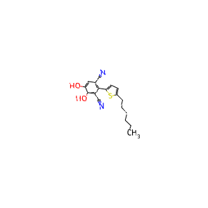 CCCCCCc1ccc(-c2c(C#N)cc(O)c(O)c2C#N)s1